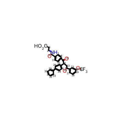 O=C(O)CCNC(=O)c1ccc(C(=O)C(CC(=O)c2cccc(OC(F)(F)F)c2)c2ccc(-c3ccccc3)cc2)cc1